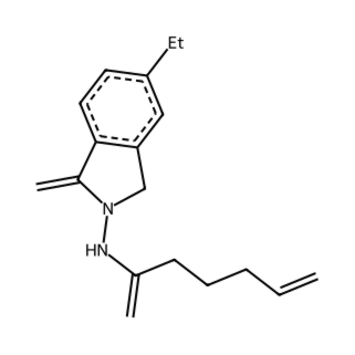 C=CCCCC(=C)NN1Cc2cc(CC)ccc2C1=C